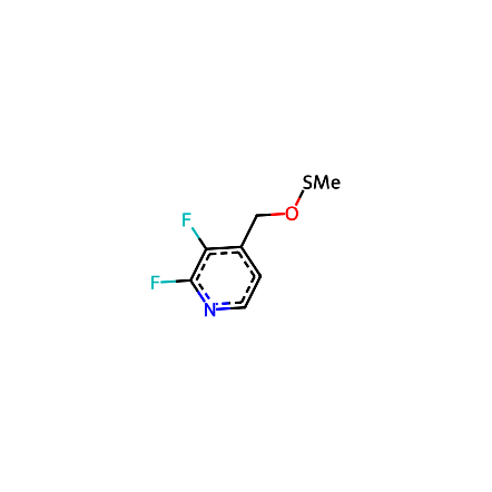 CSOCc1ccnc(F)c1F